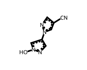 N#Cc1cnn(-c2cnn(O)c2)c1